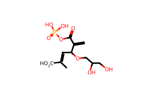 C=C(C(=O)OP(=O)(O)O)C(C=C(C)C(=O)O)OCC(O)CO